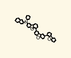 c1ccc(N(c2ccc3ccccc3c2)c2ccc3oc4c(-c5ccc6oc7ccc(-c8cccc9c8oc8ccccc89)cc7c6c5)cccc4c3c2)cc1